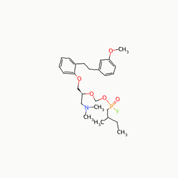 CCC(C)CP(=O)(F)OCO[C@H](COc1ccccc1CCc1cccc(OC)c1)CN(C)C